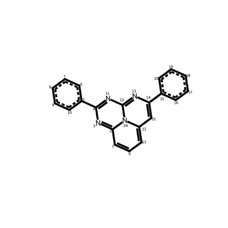 C1=CC2=NC(c3ccccc3)=NC3=NC(c4ccccc4)=CC(=C1)N23